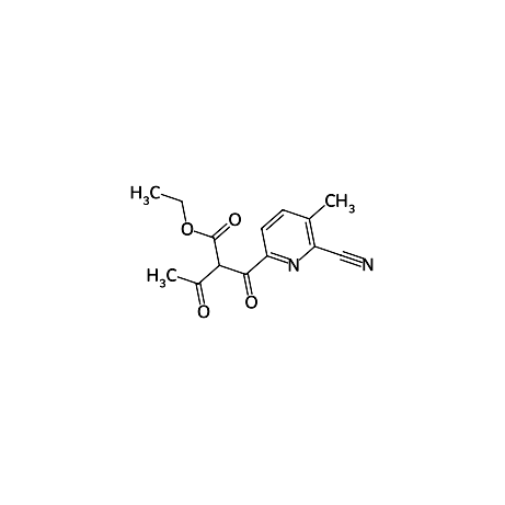 CCOC(=O)C(C(C)=O)C(=O)c1ccc(C)c(C#N)n1